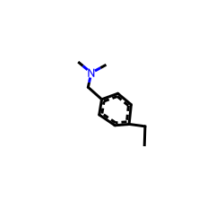 CCc1ccc(CN(C)C)cc1